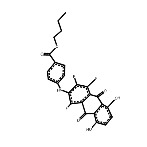 CCCCOC(=O)c1ccc(Nc2c(F)c(F)c3c(c2F)C(=O)c2c(O)ccc(O)c2C3=O)cc1